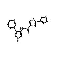 O=C(Nc1c[nH]nc1-c1cnccn1)c1coc(-c2cn[nH]c2)n1